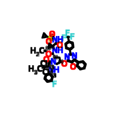 C=C[C@@H]1C[C@]1(NC(=O)[C@@H]1C[C@@H](Oc2nc(-c3ccc(C(F)(F)F)cc3)nc3c2oc2ccccc23)CN1C(=O)[C@@H](Nc1cccc(F)c1)C(C)(C)C)C(=O)NS(=O)(=O)C1CC1